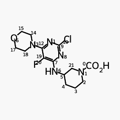 O=C(O)N1CCCC(Nc2nc(Cl)nc(N3CCOCC3)c2F)C1